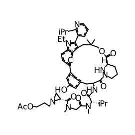 CCn1c(-c2cccnc2C(C)C)c2c3cc(ccc31)-c1cc(O)cc(c1)C[C@H](NC(=O)[C@H](C(C)C)N(C)C(=O)CN(C)C(=O)[C@H]1CN1CCCOC(C)=O)C(=O)N1CCC[C@H](N1)C(=O)OCC(C)(C)C2